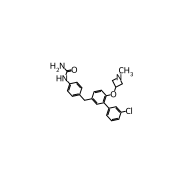 CN1CC(Oc2ccc(Cc3ccc(NC(N)=O)cc3)cc2-c2cccc(Cl)c2)C1